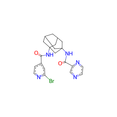 O=C(NC12CC3CC(C1)CC(NC(=O)c1cnccn1)(C3)C2)c1ccnc(Br)c1